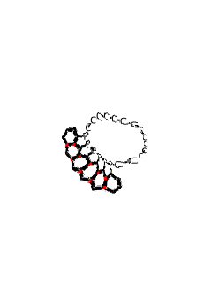 c1ccc(P2CCCCCCCCCCCCCCP(c3ccccc3)P(c3ccccc3)P(c3ccccc3)P(c3ccccc3)P2c2ccccc2)cc1